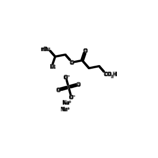 CCCCC(CC)COC(=O)CCC(=O)O.O=S(=O)([O-])[O-].[Na+].[Na+]